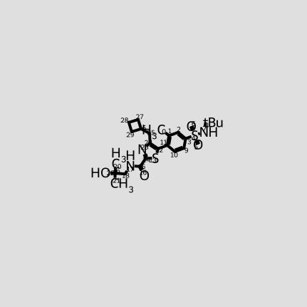 Cc1cc(S(=O)(=O)NC(C)(C)C)ccc1-c1sc(C(=O)NCC(C)(C)O)nc1CC1CCC1